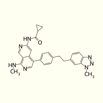 CNc1ncc(-c2ccc(CCc3ccc4nnn(C)c4c3)cc2)c2cc(NC(=O)C3CC3)ncc12